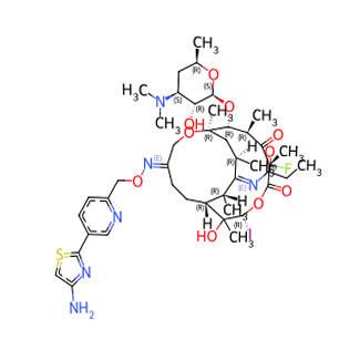 CCC(=O)/N=C1\[C@H](C)C[C@@]2(C)OC/C(=N/OCc3ccc(-c4nc(N)cs4)cn3)CC[C@H]([C@H]1C)C(C)(O)[C@@H](I)OC(=O)[C@@](C)(F)C(=O)[C@H](C)[C@H]2O[C@@H]1O[C@H](C)C[C@H](N(C)C)[C@H]1O